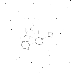 O=C1NC(=O)C2(N1)c1ccccc1-c1ccc(C34CC(C3)C4)cc12